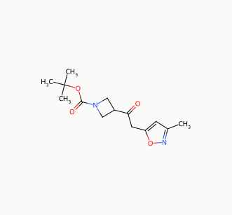 Cc1cc(CC(=O)C2CN(C(=O)OC(C)(C)C)C2)on1